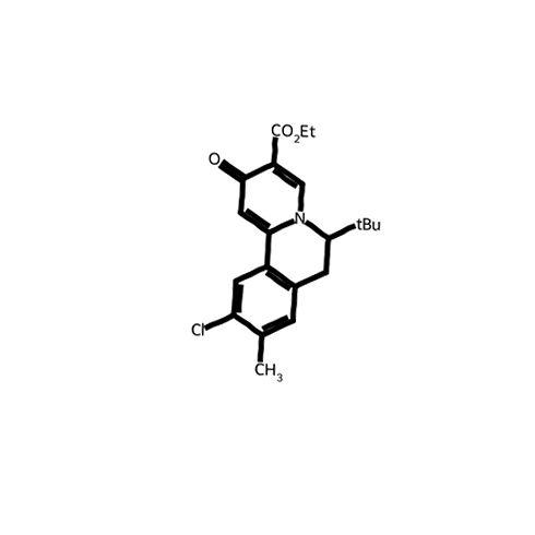 CCOC(=O)c1cn2c(cc1=O)-c1cc(Cl)c(C)cc1CC2C(C)(C)C